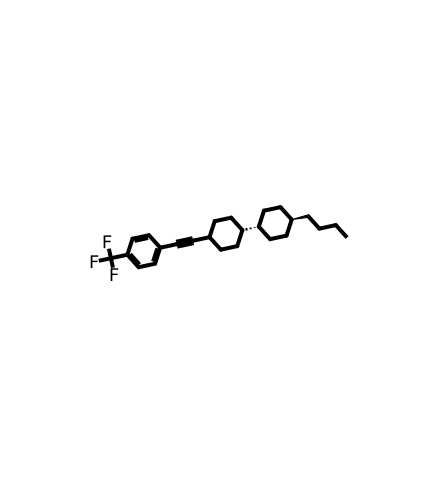 CCCC[C@H]1CC[C@H](C2CCC(C#Cc3ccc(C(F)(F)F)cc3)CC2)CC1